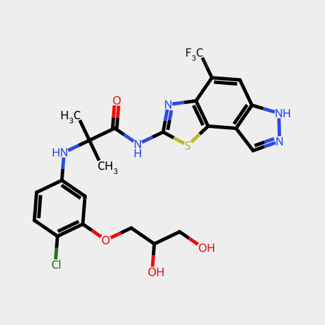 CC(C)(Nc1ccc(Cl)c(OCC(O)CO)c1)C(=O)Nc1nc2c(C(F)(F)F)cc3[nH]ncc3c2s1